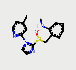 CNc1ccccc1C[S+]([O-])c1nccn1-c1cc(C)ccn1